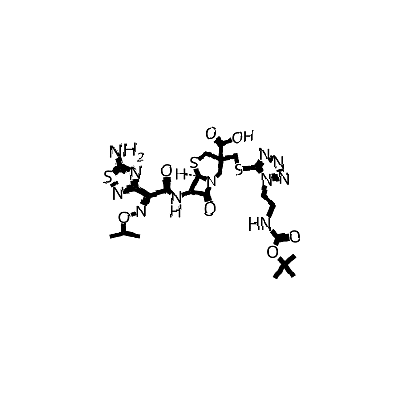 CC(C)ON=C(C(=O)NC1C(=O)N2CC(CSc3nnnn3CCNC(=O)OC(C)(C)C)(C(=O)O)CS[C@H]12)c1nsc(N)n1